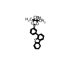 CC1(C)OB(c2cccc(-c3cccc4c5c(sc34)C=CCC5)c2)OC1(C)C